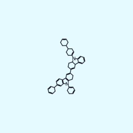 C1=CCCC(n2c3c(c4ccc(C5C=CC=CC5)cc42)C=C(C2=CC4c5ccccc5N(C5=CCC(C6CC=CCC6)CC5)C4CC2)CC3)=C1